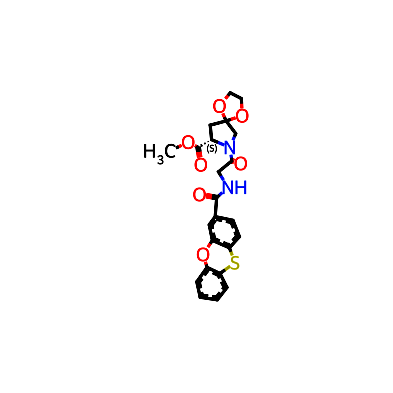 COC(=O)[C@@H]1CC2(CN1C(=O)CNC(=O)c1ccc3c(c1)Oc1ccccc1S3)OCCO2